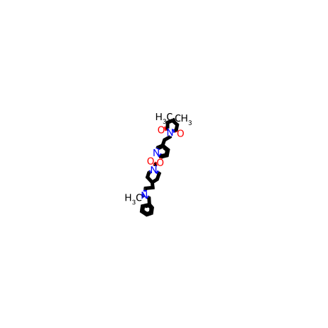 CN(CCC1CCN(C(=O)Oc2ccc(CCN3C(=O)CC(C)(C)CC3=O)cn2)CC1)Cc1ccccc1